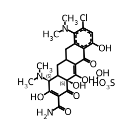 CN(C)c1c(Cl)cc(O)c2c1CC1CC3[C@H](N(C)C)C(O)=C(C(N)=O)C(=O)[C@@]3(O)C(O)=C1C2=O.O=S(=O)(O)O